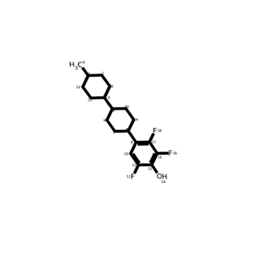 CC1CCC(C2CCC(c3cc(F)c(O)c(F)c3F)CC2)CC1